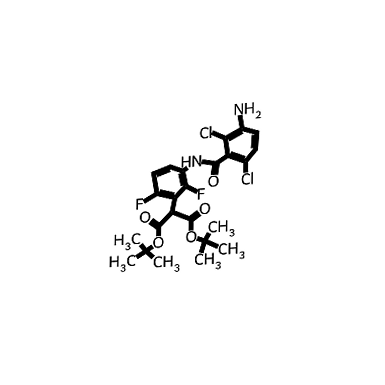 CC(C)(C)OC(=O)C(C(=O)OC(C)(C)C)c1c(F)ccc(NC(=O)c2c(Cl)ccc(N)c2Cl)c1F